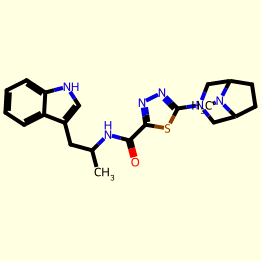 CC(Cc1c[nH]c2ccccc12)NC(=O)c1nnc(N2CC3CCC(C2)N3C)s1